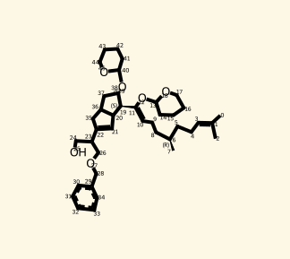 CC(C)=CCC[C@@H](C)CCC=C(OC1CCCCO1)[C@H]1C2C=C(C(CO)COCc3ccccc3)CC2C[C@@H]1OC1CCCCO1